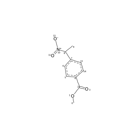 COC(=O)c1ccc(C(C)[N+](=O)[O-])cc1